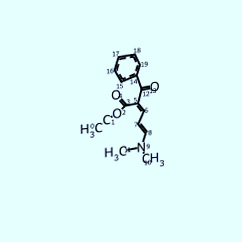 CCOC(=O)C(=CC=CN(C)C)C(=O)c1ccccc1